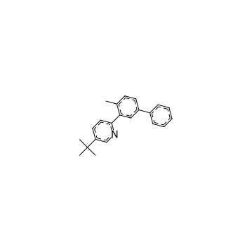 Cc1ccc(-c2ccccc2)cc1-c1ccc(C(C)(C)C)cn1